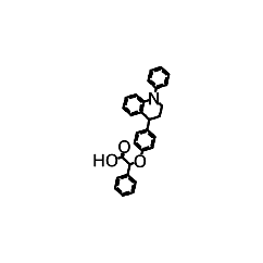 O=C(O)C(Oc1ccc(C2CCN(c3ccccc3)c3ccccc32)cc1)c1ccccc1